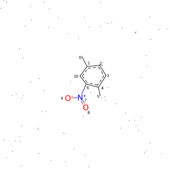 Cc1[c]cc(C)c([N+](=O)[O-])c1